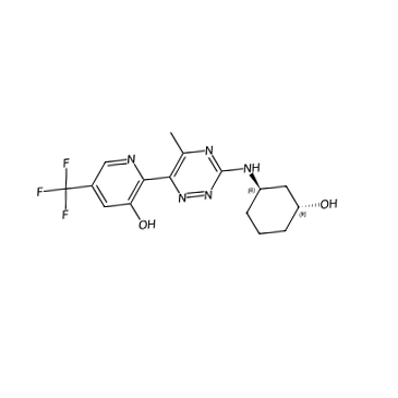 Cc1nc(N[C@@H]2CCC[C@@H](O)C2)nnc1-c1ncc(C(F)(F)F)cc1O